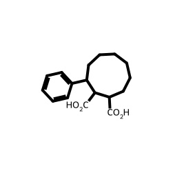 O=C(O)C1CCCCCCC(c2ccccc2)C1C(=O)O